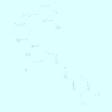 CC(NC(=O)c1cc(Nc2cc(N)ncn2)ncn1)c1ncc(C(=O)Nc2cc(C(F)(F)F)c(Cl)cn2)s1